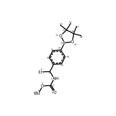 CCC(NC(=O)OC(C)(C)C)c1ccc(B2OC(C)(C)C(C)(C)O2)cc1